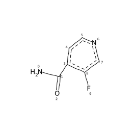 NC(=O)c1ccn[c]c1F